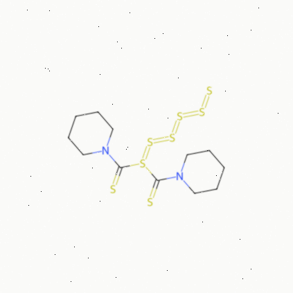 S=S=S=S=S=S(C(=S)N1CCCCC1)C(=S)N1CCCCC1